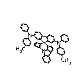 Cc1ccc(N(c2ccccc2)c2ccc3c(c2)C2(c4cc(N(c5ccccc5)c5ccc(C)cc5)ccc4-3)c3ccccc3-n3c4ccccc4c4cccc2c43)cc1